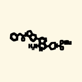 CC(C)(C)OC(=O)N1CCC(c2cnc(N)c3c(-c4ccc5c(c4)CCN5C(=O)Cc4ccccc4)csc23)CC1